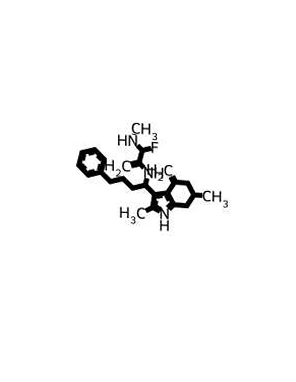 C=C1CC(C)Cc2[nH]c(C)c(C(CCCc3ccccc3)NC(=C)C(F)NC)c21